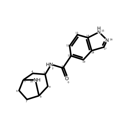 O=C(NC1CC2CCC(C1)N2)c1ccc2[nH]ncc2c1